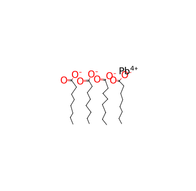 CCCCCCCC(=O)[O-].CCCCCCCC(=O)[O-].CCCCCCCC(=O)[O-].CCCCCCCC(=O)[O-].[Pb+4]